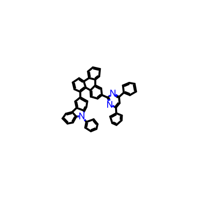 c1ccc(-c2cc(-c3ccccc3)nc(-c3ccc4c(c3)c3ccccc3c3cccc(-c5ccc6c(c5)c5ccccc5n6-c5ccccc5)c34)n2)cc1